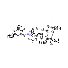 C=C1/C(=C\C=C2/CCC[C@]3(C)[C@@H]([C@H](CCCC(C)(C)O)CC[C@@H](O)C(C)(C)O)CC[C@@H]23)C[C@@H](O)C[C@@H]1O